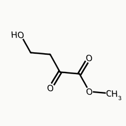 COC(=O)C(=O)CCO